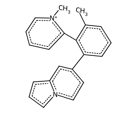 Cc1cccc(-c2ccn3cccc3c2)c1-c1cccc[n+]1C